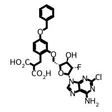 Nc1nc(Cl)nc2c1ncn2[C@@H]1O[C@H](COc2cc(OCc3ccccc3)ccc2CC(C(=O)O)C(=O)O)[C@@H](O)[C@@H]1F